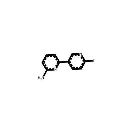 Nc1cccc(-c2ccc(F)nc2)n1